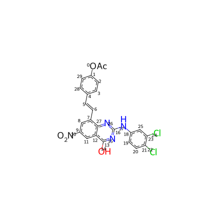 CC(=O)Oc1ccc(/C=C/c2cc([N+](=O)[O-])cc3c(O)nc(Nc4ccc(Cl)c(Cl)c4)nc23)cc1